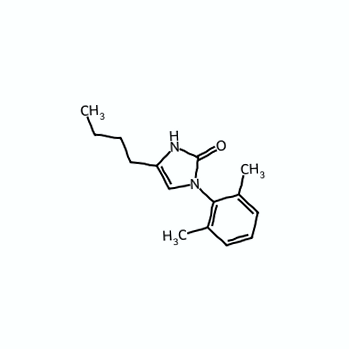 CCCCc1cn(-c2c(C)cccc2C)c(=O)[nH]1